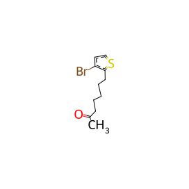 CC(=O)CCCCCc1sccc1Br